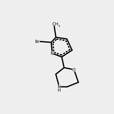 Cc1ccc(C2CNCCO2)nc1Br